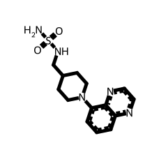 NS(=O)(=O)NCC1CCN(c2cccc3nccnc23)CC1